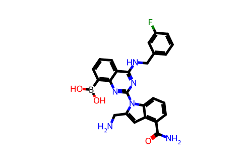 NCc1cc2c(C(N)=O)cccc2n1-c1nc(NCc2cccc(F)c2)c2cccc(B(O)O)c2n1